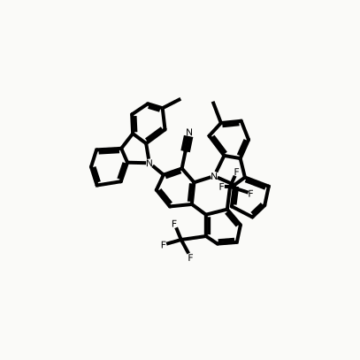 Cc1ccc2c3ccccc3n(-c3ccc(-c4c(C(F)(F)F)cccc4C(F)(F)F)c(-n4c5ccccc5c5ccc(C)cc54)c3C#N)c2c1